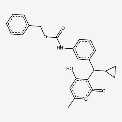 Cc1cc(O)c(C(c2cccc(NC(=O)OCc3ccccc3)c2)C2CC2)c(=O)o1